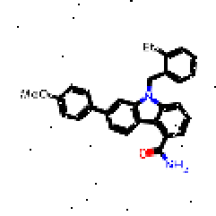 CCc1ccccc1Cn1c2cc(-c3ccc(OC)cc3)c[c]c2c2c(C(N)=O)cccc21